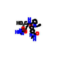 C#CCN(c1ccccc1C(=O)N[C@@H](CCCS(=O)(=O)c1nc[nH]n1)C(=O)O)[C@@H]1CCc2cc3nc(C)[nH]c(=O)c3cc21